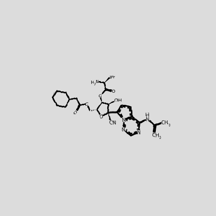 C=C(C)Nc1ncnn2c([C@]3(C#N)O[C@H](COC(=O)CC4CCCCC4)[C@@H](OC(=O)[C@@H](N)C(C)C)[C@H]3O)ccc12